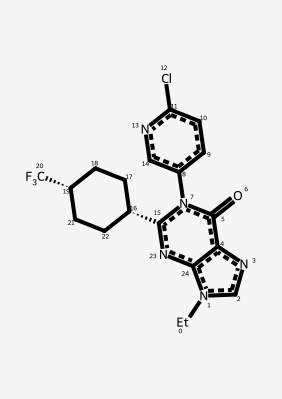 CCn1cnc2c(=O)n(-c3ccc(Cl)nc3)c([C@H]3CC[C@@H](C(F)(F)F)CC3)nc21